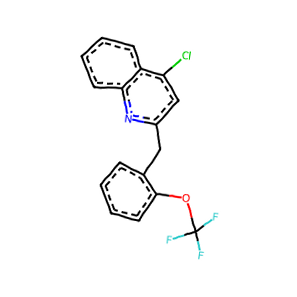 FC(F)(F)Oc1ccccc1Cc1cc(Cl)c2ccccc2n1